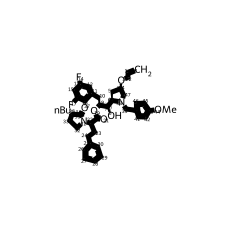 C=CCO[C@@H]1C[C@H]([C@@H](O)[C@H](Cc2cc(F)cc(F)c2)OC(=O)C(CCc2ccccc2)N2CCC(CCCC)C2=O)N(Cc2ccc(OC)cc2)C1